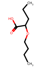 CCCCOC(CCC)C(=O)O